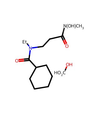 CCN(CCC(=O)N(C)O)C(=O)C1CCCCC1.O=C(O)O